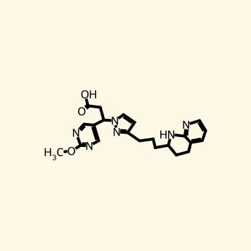 COc1ncc(C(CC(=O)O)n2ccc(CCCC3CCc4cccnc4N3)n2)cn1